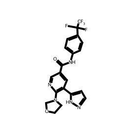 O=C(Nc1ccc(C(F)(F)C(F)(F)F)cc1)c1cnc(N2CCOC2)c(-c2ccn[nH]2)c1